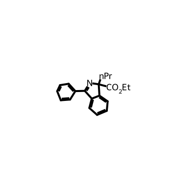 CCCC1(C(=O)OCC)N=C(c2ccccc2)c2ccccc21